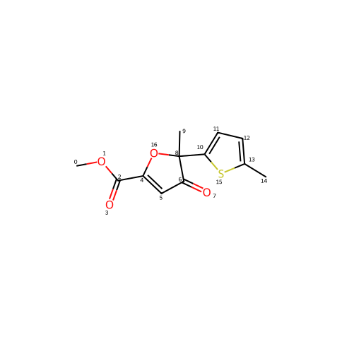 COC(=O)C1=CC(=O)C(C)(c2ccc(C)s2)O1